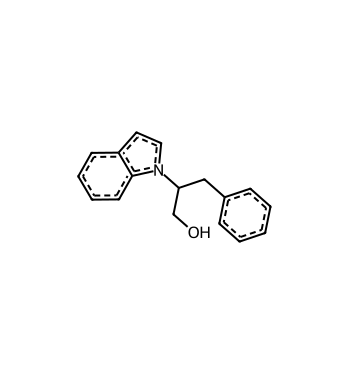 OCC(Cc1ccccc1)n1ccc2ccccc21